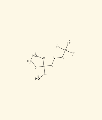 CCC(CC)(CC)CCCC(CN)(CO)CO